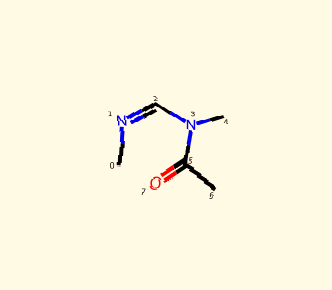 C/N=C\N(C)C(C)=O